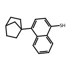 Sc1ccc(C23CCC(CC2)C3)c2ccccc12